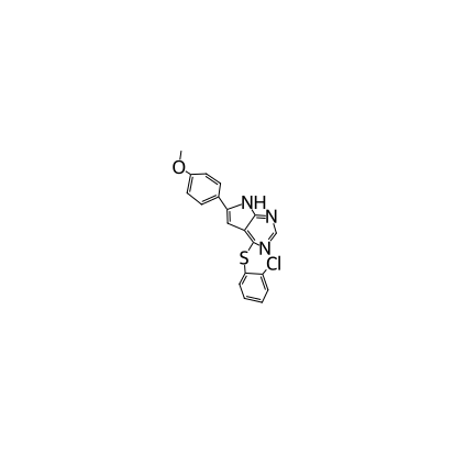 COc1ccc(-c2cc3c(Sc4ccccc4Cl)ncnc3[nH]2)cc1